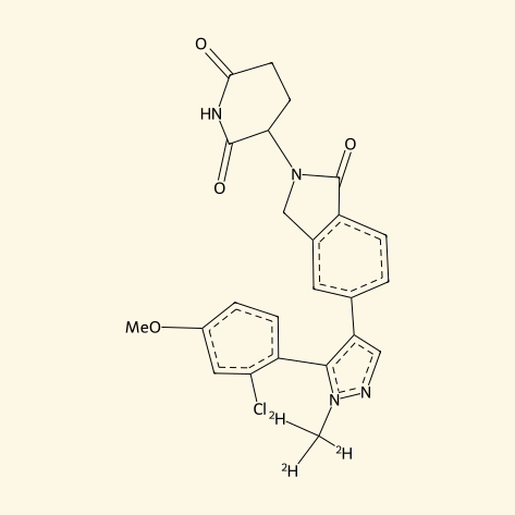 [2H]C([2H])([2H])n1ncc(-c2ccc3c(c2)CN(C2CCC(=O)NC2=O)C3=O)c1-c1ccc(OC)cc1Cl